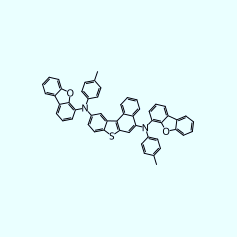 Cc1ccc(N(c2ccc3sc4cc(N(c5ccc(C)cc5)c5cccc6c5oc5ccccc56)c5ccccc5c4c3c2)c2cccc3c2oc2ccccc23)cc1